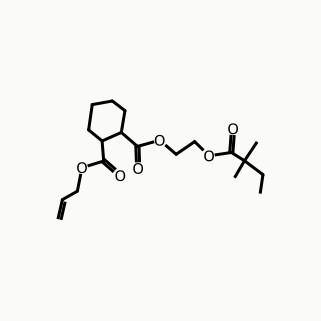 C=CCOC(=O)C1CCCCC1C(=O)OCCOC(=O)C(C)(C)CC